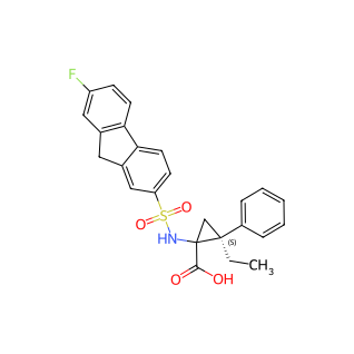 CC[C@@]1(c2ccccc2)CC1(NS(=O)(=O)c1ccc2c(c1)Cc1cc(F)ccc1-2)C(=O)O